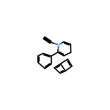 C#CN1C=CCC=C1c1ccccc1.c1cc2ccc1-2